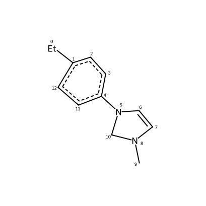 CCc1ccc(N2C=CN(C)C2)cc1